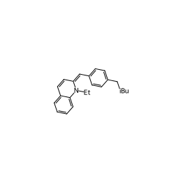 CCC(C)Cc1ccc(C=C2C=Cc3ccccc3N2CC)cc1